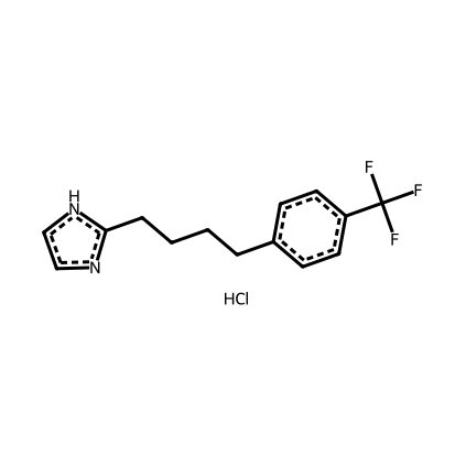 Cl.FC(F)(F)c1ccc(CCCCc2ncc[nH]2)cc1